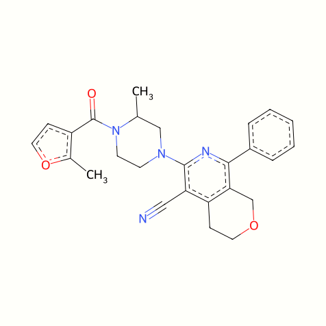 Cc1occc1C(=O)N1CCN(c2nc(-c3ccccc3)c3c(c2C#N)CCOC3)CC1C